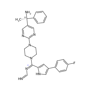 C[C@](N)(c1ccccc1)c1cnc(N2CCN(/C(=N/C=N)c3cc(-c4ccc(F)cc4)c[nH]3)CC2)nc1